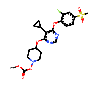 CC(C)OC(=O)ON1CCC(Oc2ncnc(Oc3ccc(S(C)(=O)=O)cc3F)c2C2CC2)CC1